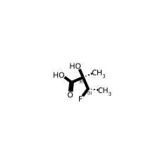 C[C@H](F)[C@](C)(O)C(=O)O